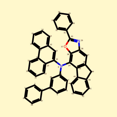 c1ccc(-c2cccc(N(c3cc4ccccc4c4ccccc34)c3c4c(cc5nc(-c6ccccc6)oc35)Cc3ccccc3-4)c2)cc1